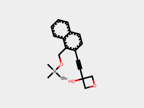 CC(C)(C)[Si](C)(C)OCc1c(C#CC2(O)COC2)ccc2ccccc12